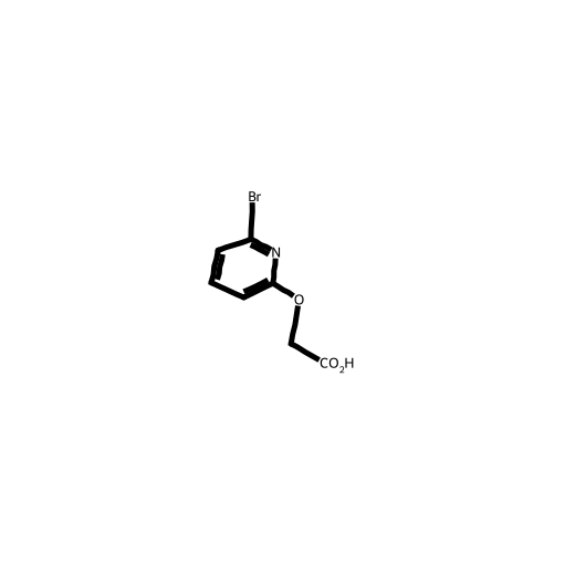 O=C(O)COc1cccc(Br)n1